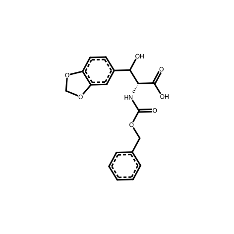 O=C(N[C@@H](C(=O)O)C(O)c1ccc2c(c1)OCO2)OCc1ccccc1